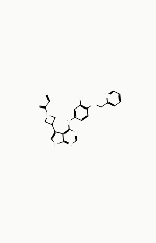 C=CC(=O)N1CC(c2c[nH]c3ncnc(Nc4ccc(OCc5ccccn5)c(Cl)c4)c23)C1